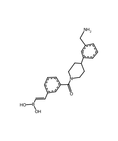 NCc1cccc(C2CCN(C(=O)c3cccc(/C=C/B(O)O)c3)CC2)c1